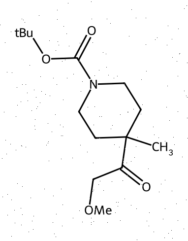 COCC(=O)C1(C)CCN(C(=O)OC(C)(C)C)CC1